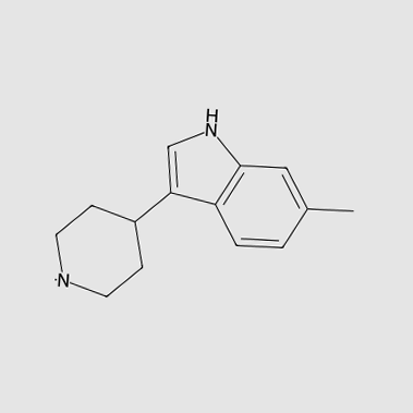 Cc1ccc2c(C3CC[N]CC3)c[nH]c2c1